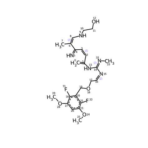 C=C(/C=C\C(=N)/C(C)=C\NCCO)NC(/N=C\COCc1c(F)c(OC)cc(OC)c1F)=N/C